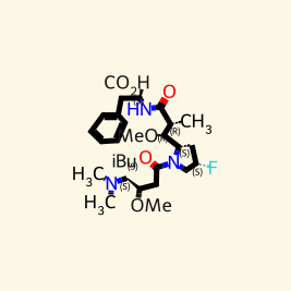 CC[C@H](C)[C@@H](C(CC(=O)N1C[C@@H](F)C[C@H]1[C@H](OC)[C@@H](C)C(=O)N[C@@H](Cc1ccccc1)C(=O)O)OC)N(C)C